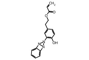 C=CC(=O)OCCc1ccc(O)c(-n2n3c4ccccc4n23)c1